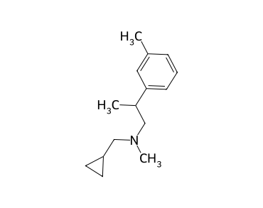 Cc1cccc(C(C)CN(C)CC2CC2)c1